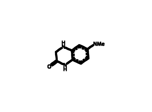 CNc1ccc2c(c1)NCC(=O)N2